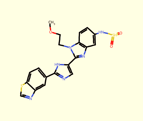 COCCn1c(-c2cnc(-c3ccc4scnc4c3)[nH]2)nc2cc(N[SH](=O)=O)ccc21